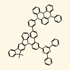 CC1(C)c2ccccc2-c2cc3c4ccccc4n(-c4ccc(-c5nc(-c6ccccc6)nc(-c6ccccc6)n5)cc4-c4ccc(-c5cccc(N6c7ccccc7B7c8ccccc8N(c8ccccc8)c8cccc6c87)c5)cc4)c3cc21